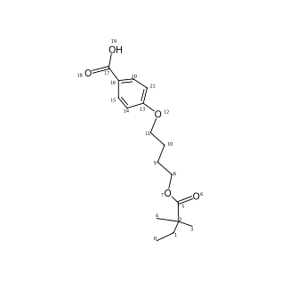 CCC(C)(C)C(=O)OCCCCOc1ccc(C(=O)O)cc1